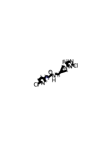 O=C(/C=C/c1ccc(Cl)nc1)NCCC1C2CN(c3nc(Cl)ncc3F)CC12